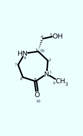 CN1C[C@@H](CO)NCCC1=O